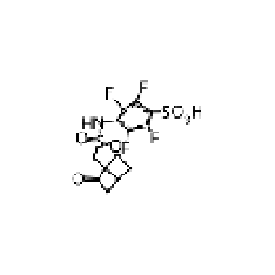 O=C1CC2CCC12CS(=O)(=O)Nc1c(F)c(F)c(S(=O)(=O)O)c(F)c1F